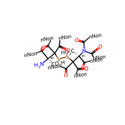 CCCCCCCCCC(=O)N(C(=O)CCCCCCCCC)[C@@](C(=O)O)(C(=O)CCCCCCCCC)C(SSC(C(=O)CCCCCCCCC)(C(=O)CCCCCCCCC)[C@](N)(C(=O)O)C(=O)CCCCCCCCC)(C(=O)CCCCCCCCC)C(=O)CCCCCCCCC